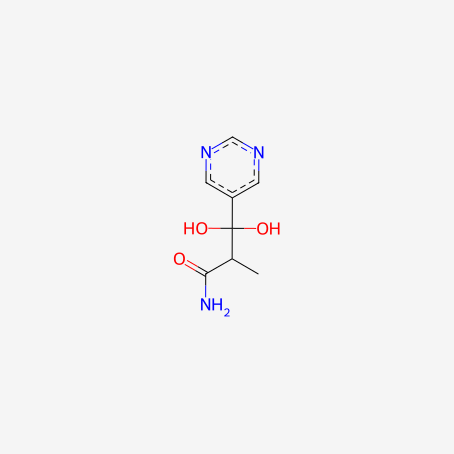 CC(C(N)=O)C(O)(O)c1cncnc1